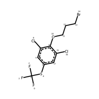 FC(F)(F)Sc1cc(Cl)c(OCCCBr)c(Cl)c1